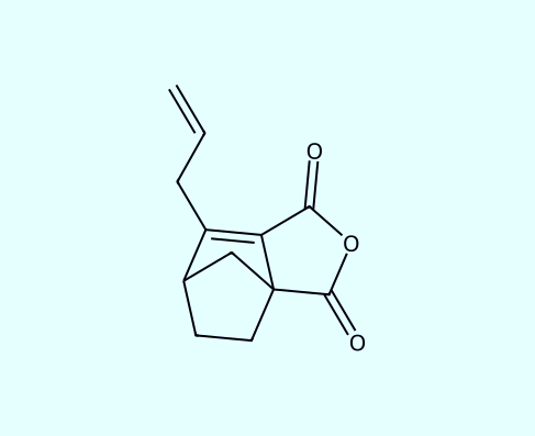 C=CCC1=C2C(=O)OC(=O)C23CCC1C3